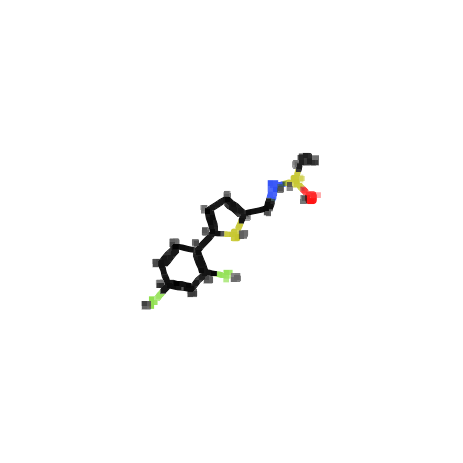 CC(C)(C)[S+]([O-])/N=C/c1ccc(-c2ccc(F)cc2F)s1